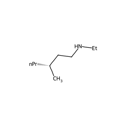 CCC[C@@H](C)CCNCC